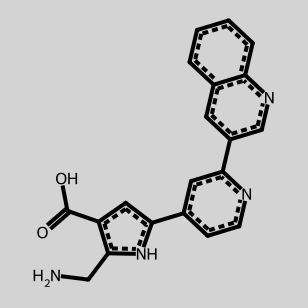 NCc1[nH]c(-c2ccnc(-c3cnc4ccccc4c3)c2)cc1C(=O)O